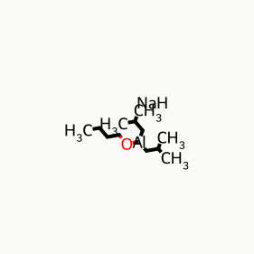 CCCC[O][Al]([CH2]C(C)C)[CH2]C(C)C.[NaH]